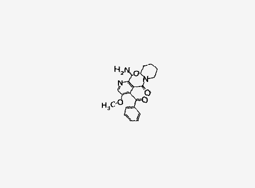 COc1cnc(C(N)=O)c(C(=O)N2CCCCC2)c1C(=O)c1ccccc1